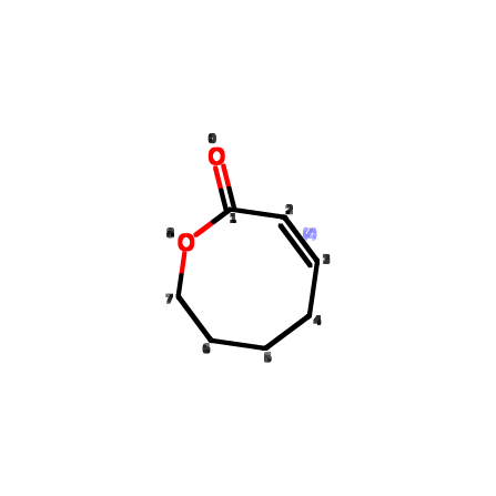 O=C1/C=C\CCCCO1